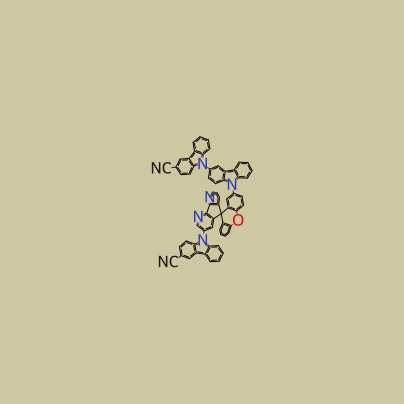 N#Cc1ccc2c(c1)c1ccccc1n2-c1cnc2c(c1)C1(c3ccccc3Oc3ccc(-n4c5ccccc5c5cc(-n6c7ccccc7c7cc(C#N)ccc76)ccc54)cc31)c1cccnc1-2